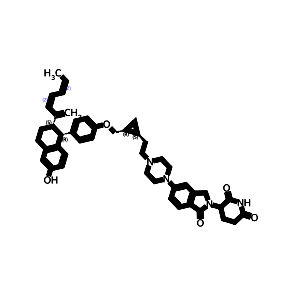 C=C(/C=C\C=C/C)[C@H]1CCc2cc(O)ccc2[C@H]1c1ccc(OC[C@@H]2C[C@H]2CCN2CCN(c3ccc4c(c3)CN(C3CCC(=O)NC3=O)C4=O)CC2)cc1